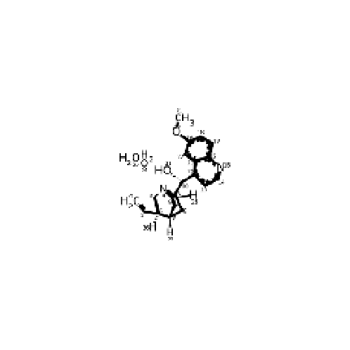 C=C[C@H]1C[N@]2CC[C@H]1C[C@H]2[C@H](O)c1ccnc2ccc(OC)cc12.O.O